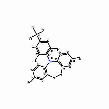 Cc1ccc2c(c1)CCc1cc(C)ccc1N2c1c(C)cc(C(C)(C)C)cc1C